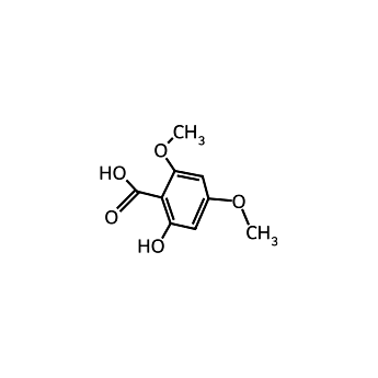 COc1cc(O)c(C(=O)O)c(OC)c1